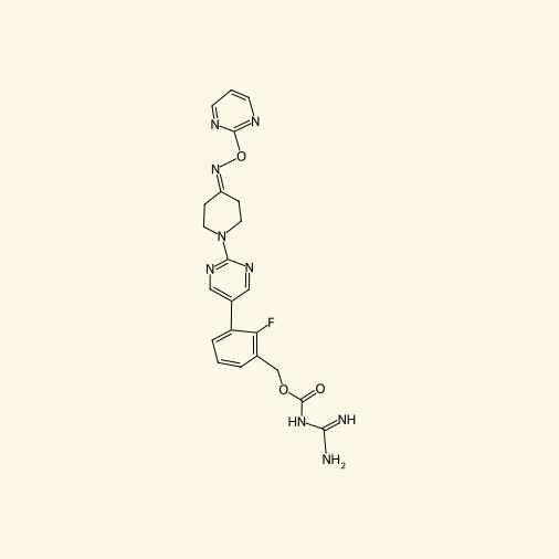 N=C(N)NC(=O)OCc1cccc(-c2cnc(N3CCC(=NOc4ncccn4)CC3)nc2)c1F